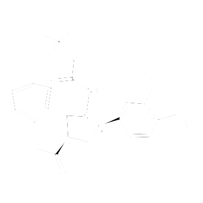 COC(=O)[C@@H]1O[C@H](c2ccc(OC)c(OC)c2)N(NC(=O)OC(C)(C)C)[C@H]1c1ccccc1